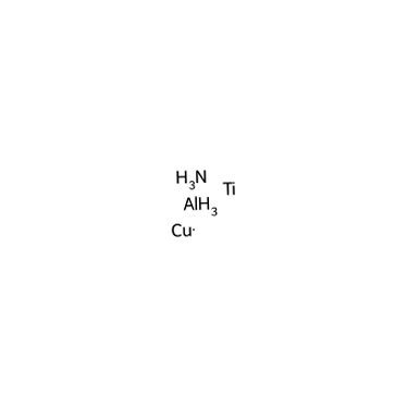 N.[AlH3].[Cu].[Ti]